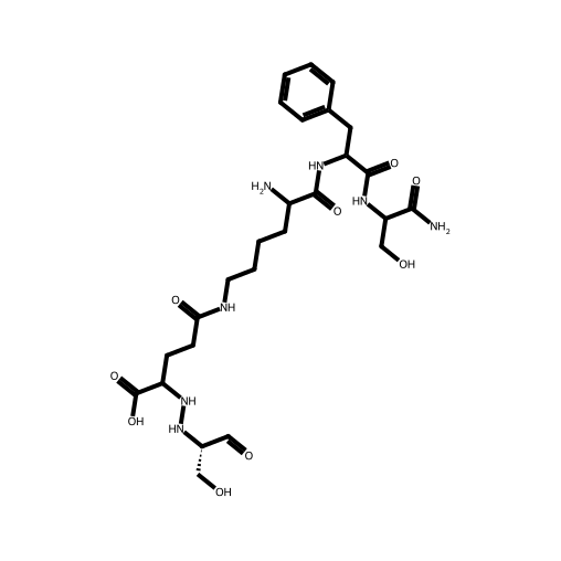 NC(=O)C(CO)NC(=O)C(Cc1ccccc1)NC(=O)C(N)CCCCNC(=O)CCC(NN[C@H](C=O)CO)C(=O)O